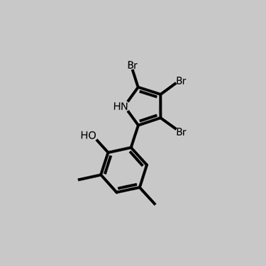 Cc1cc(C)c(O)c(-c2[nH]c(Br)c(Br)c2Br)c1